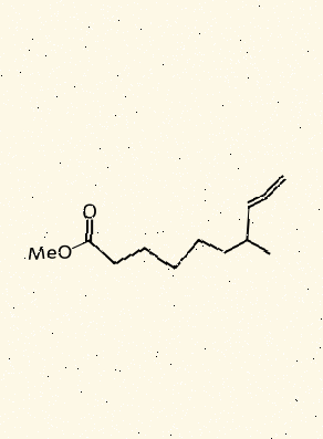 C=C=CC(C)CCCCCC(=O)OC